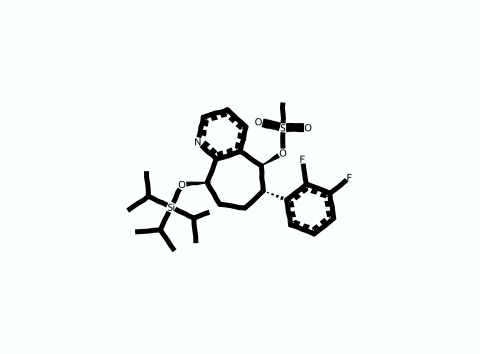 CC(C)[Si](O[C@@H]1CC[C@@H](c2cccc(F)c2F)[C@H](OS(C)(=O)=O)c2cccnc21)(C(C)C)C(C)C